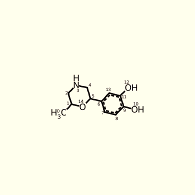 CC1CNCC(c2ccc(O)c(O)c2)O1